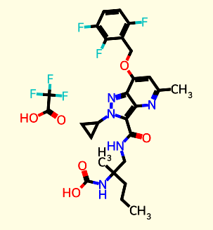 CCCC(C)(CNC(=O)c1c2nc(C)cc(OCc3c(F)ccc(F)c3F)c2nn1C1CC1)NC(=O)O.O=C(O)C(F)(F)F